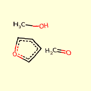 C=O.CO.c1ccoc1